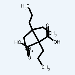 CCCC(CC)(CC)C(CCC)(C(=O)O)C(=O)O